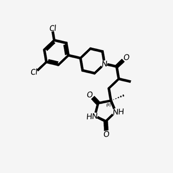 CC(C[C@@]1(C)NC(=O)NC1=O)C(=O)N1CCC(c2cc(Cl)cc(Cl)c2)CC1